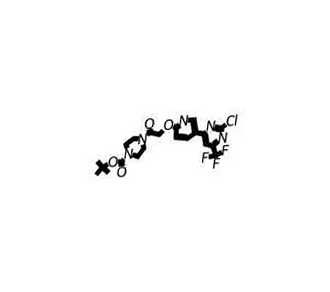 CC(C)(C)OC(=O)N1CCN(C(=O)COc2ccc(-c3cc(C(F)(F)F)nc(Cl)n3)cn2)CC1